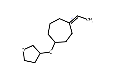 C/C=C1/CCCC(OC2CCOC2)CC1